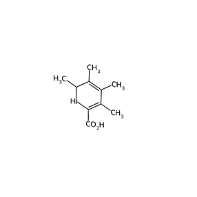 CC1=C(C(=O)O)[IH]C(C)C(C)=C1C